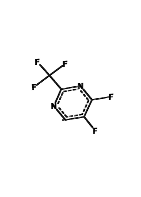 Fc1[c]nc(C(F)(F)F)nc1F